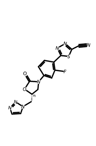 N#Cc1nnc(-c2ccc(N3C[C@H](Cn4ccnn4)OC3=O)cc2F)s1